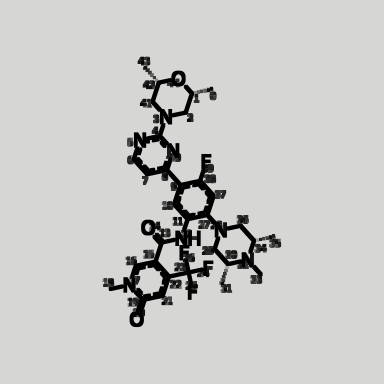 C[C@@H]1CN(c2nccc(-c3cc(NC(=O)c4cn(C)c(=O)cc4C(F)(F)F)c(N4C[C@@H](C)N(C)[C@@H](C)C4)cc3F)n2)C[C@H](C)O1